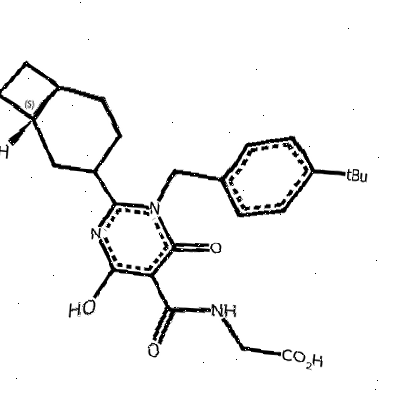 CC(C)(C)c1ccc(Cn2c(C3CCC4CC[C@H]4C3)nc(O)c(C(=O)NCC(=O)O)c2=O)cc1